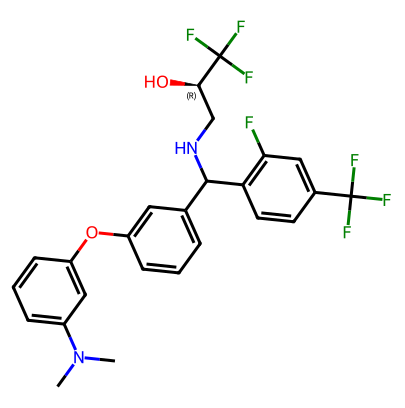 CN(C)c1cccc(Oc2cccc(C(NC[C@@H](O)C(F)(F)F)c3ccc(C(F)(F)F)cc3F)c2)c1